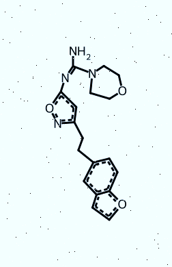 NC(=Nc1cc(CCc2ccc3occc3c2)no1)N1CCOCC1